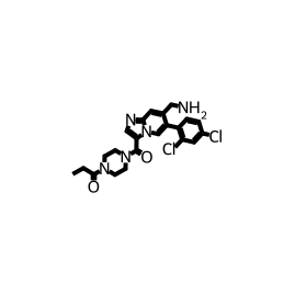 CCC(=O)N1CCN(C(=O)c2cnc3cc(CN)c(-c4ccc(Cl)cc4Cl)cn23)CC1